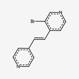 Brc1cnccc1C=Cc1ccncc1